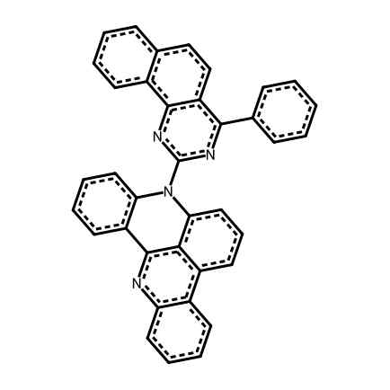 c1ccc(-c2nc(N3c4ccccc4-c4nc5ccccc5c5cccc3c45)nc3c2ccc2ccccc23)cc1